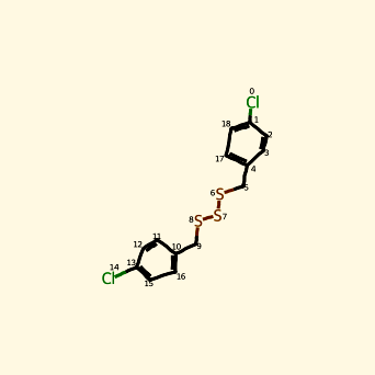 Clc1ccc(CSSSCc2ccc(Cl)cc2)cc1